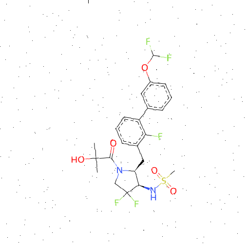 CC(C)(O)C(=O)N1CC(F)(F)[C@H](NS(C)(=O)=O)[C@@H]1Cc1cccc(-c2cccc(OC(F)F)c2)c1F